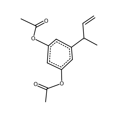 C=C[C](C)c1cc(OC(C)=O)cc(OC(C)=O)c1